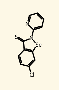 S=c1c2ccc(Cl)cc2[se]n1-c1ccccn1